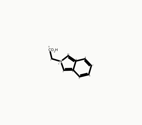 O=C(O)Cn1cc2ccccc2c1